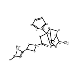 Cn1nc(C2CN(C(=O)CC3(c4ccccc4)C4CC5CC3CC(C4)C5O)C2)[nH]1